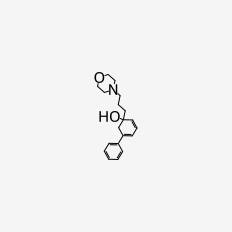 OC1(CCCN2CCOCC2)C=CC=C(c2ccccc2)C1